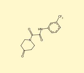 O=C1CCN(C(=O)C(=O)Nc2cccc(C(F)(F)F)c2)CC1